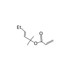 C=CC(=O)OC(C)(C)C=CCC